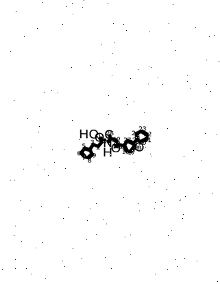 O=C(CCc1ccccc1)NC(CC(=O)c1ccc2oc3ccccc3c2c1)C(=O)O